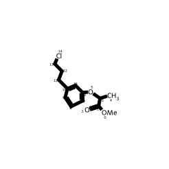 COC(=O)C(C)Oc1cccc(CCCCl)c1